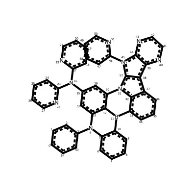 c1ccc(N2c3ccccc3B3c4c2cc(N(c2ccccn2)c2ccccn2)cc4-n2c4c3cccc4c3c4nccnc4n(-c4ccccn4)c32)cc1